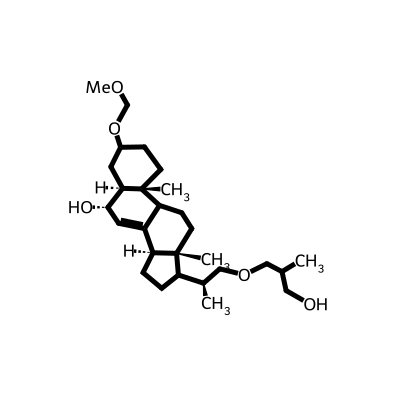 COCOC1CC[C@]2(C)C3CC[C@]4(C)C([C@H](C)COCC(C)CO)CC[C@H]4C3=C[C@H](O)[C@H]2C1